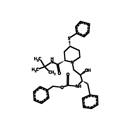 CC(C)(C)NC(=O)[C@@H]1C[C@H](Sc2ccccc2)CCN1C[C@@H](O)[C@H](Cc1ccccc1)NC(=O)OCc1ccccc1